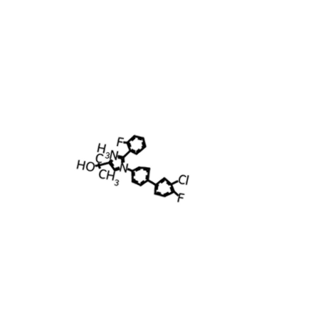 CC(C)(O)c1cn(-c2ccc(-c3ccc(F)c(Cl)c3)cc2)c(-c2ccccc2F)n1